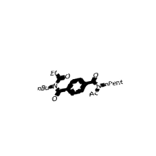 CCCCCN(C(C)=O)C(=O)c1ccc(C(=O)N(CCCC)C(=O)CC)cc1